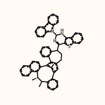 Cc1c2cc3c(c1-c1ccc4ccccc4c1[C@H](C)C(C)c1ccccc1-2)-c1ccccc1C(C1=NC(n2c4ccccc4c4ccccc42)Nc2c1sc1ccccc21)CC3